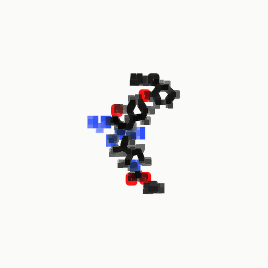 COc1ccccc1Oc1ccc(-c2[nH]c3c(C4CCN(C(=O)OC(C)(C)C)C4)cnn3c2C(N)=O)cc1